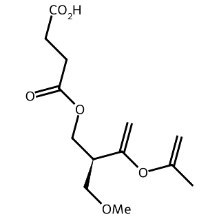 C=C(C)OC(=C)[C@@H](COC)COC(=O)CCC(=O)O